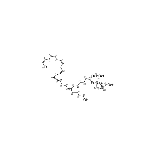 CC/C=C\C/C=C\C/C=C\C/C=C\C/C=C\CCCCN(CCCCO)CCCCCC(OCCCCCCCC)O[Si](C)(C)O[Si](C)(C)CCCCCCCC